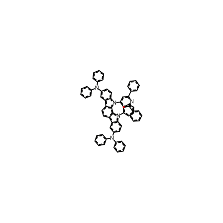 c1ccc(-c2cc(-n3c4ccc(N(c5ccccc5)c5ccccc5)cc4c4ccc5c6cc(N(c7ccccc7)c7ccccc7)ccc6n(-c6ccccc6)c5c43)cc(-c3ccccc3)n2)cc1